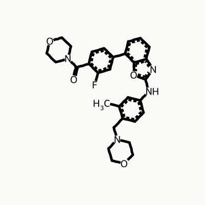 Cc1cc(Nc2nc3cccc(-c4ccc(C(=O)N5CCOCC5)c(F)c4)c3o2)ccc1CN1CCOCC1